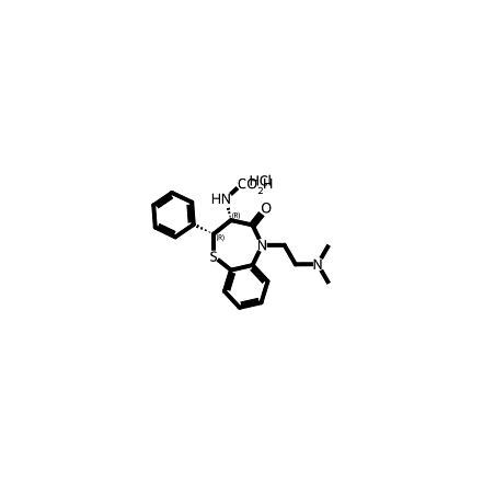 CN(C)CCN1C(=O)[C@@H](NC(=O)O)[C@@H](c2ccccc2)Sc2ccccc21.Cl